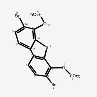 CCCCCCCCOc1c(Br)ccc2c1sc1c(OCCCCCCCC)c(Br)ccc12